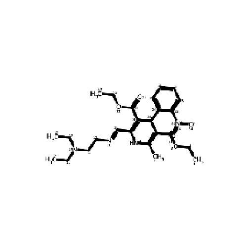 CCOC(=O)C1=C(C)NC(C=NCCN(CC)CC)=C(C(=O)OCC)C1c1ccccc1[N+](=O)[O-]